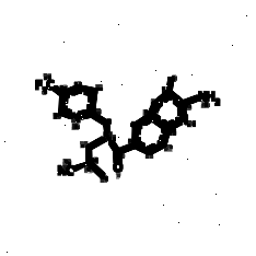 Cc1cc2cc(C(=O)N(Cc3ccc(C(F)(F)F)cn3)C[C@@H](C)C#N)ccc2nc1N